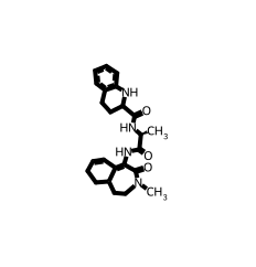 C[C@H](NC(=O)C1CCc2ccccc2N1)C(=O)NC1=C2C=CCCC2CCN(C)C1=O